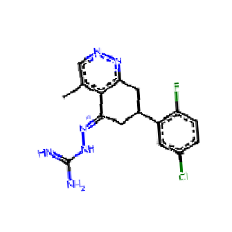 Cc1cnnc2c1/C(=N/NC(=N)N)CC(c1cc(Cl)ccc1F)C2